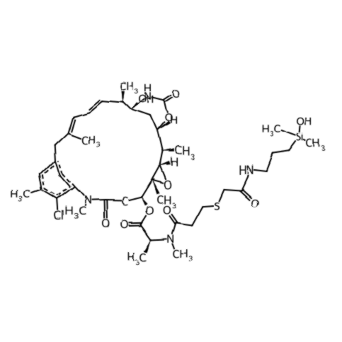 C/C1=C\C=C\[C@@H](C)[C@@]2(O)C[C@H](OC(=O)N2)[C@@H](C)[C@@H]2O[C@]2(C)[C@@H](OC(=O)[C@H](C)N(C)C(=O)CCSCC(=O)NCCC[Si](C)(C)O)CC(=O)N(C)c2cc(cc(C)c2Cl)C1